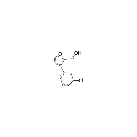 O[CH]c1occc1-c1cccc(Cl)c1